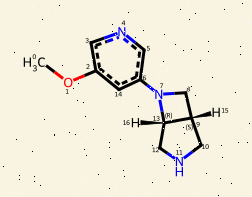 COc1cncc(N2C[C@@H]3CNC[C@@H]32)c1